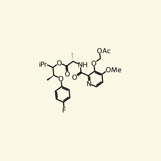 COc1ccnc(C(=O)N[C@@H](C)C(=O)OC(C(C)C)[C@H](C)Oc2ccc(F)cc2)c1OCOC(C)=O